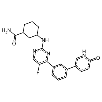 NC(=O)C1CCCC(Nc2ncc(F)c(-c3cccc(-c4ccc(=O)[nH]c4)c3)n2)C1